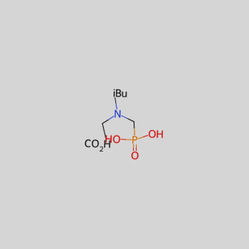 CCC(C)N(CC(=O)O)CP(=O)(O)O